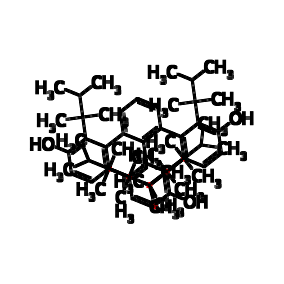 CC(C)C(C)(C)c1ccc(O)c(C(C)(C)C(C)C)c1-c1cccc(-c2c(C(C)(C)C(C)C)ccc(O)c2C(C)(C)C(C)C)c1-c1c(C(C)(C)C(C)C)ccc(O)c1C(C)(C)C(C)C